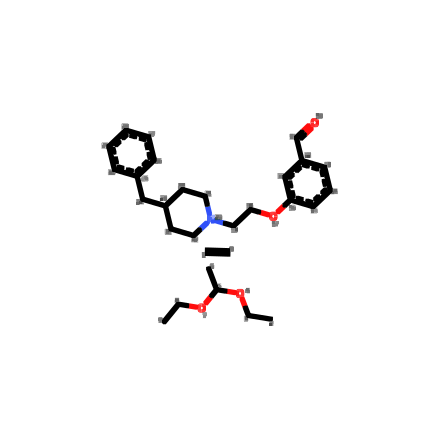 C=C.CCOC(C)OCC.O=Cc1cccc(OCCN2CCC(Cc3ccccc3)CC2)c1